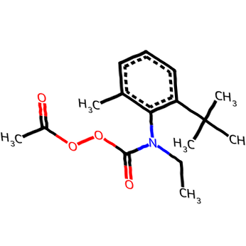 CCN(C(=O)OOC(C)=O)c1c(C)cccc1C(C)(C)C